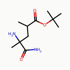 CC(CC(C)(N)C(N)=O)C(=O)OC(C)(C)C